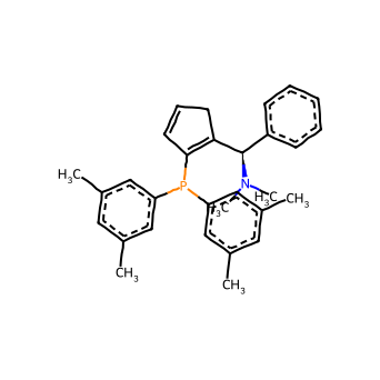 Cc1cc(C)cc(P(C2=C([C@@H](c3ccccc3)N(C)C)CC=C2)c2cc(C)cc(C)c2)c1